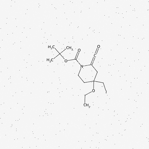 CCOC1(CI)CCN(C(=O)OC(C)(C)C)C(=C=O)C1